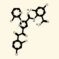 Cc1cc(Cl)cc(C(N)=O)c1NC(=O)c1cc(C(=O)C(=O)c2ccc(Cl)cc2Cl)nn1-c1ncccc1Cl